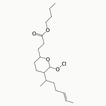 CC=CCCC(C)C1CCC(CCC(=O)OCCCC)OC1OCl